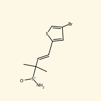 CC(C)(C=Cc1cc(Br)cs1)[S+](N)[O-]